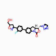 O=C1O[C@@H](Cn2ccnn2)[C@@H]2Cc3cc(-c4ccc(C5=NOC(CO)C5)c(F)c4)ccc3N12